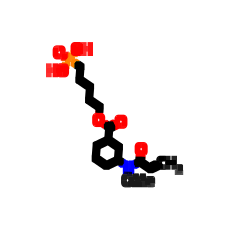 C=CC(=O)N(OC)C1CCCC(C(=O)OCCCCCP(=O)(O)O)C1